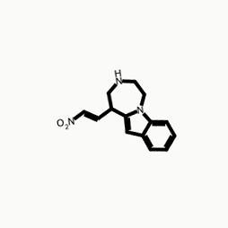 O=[N+]([O-])C=CC1CNCCn2c1cc1ccccc12